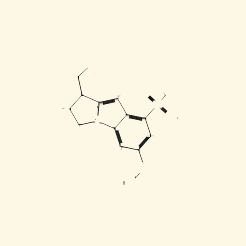 CC(C)Oc1cc(S(C)(=O)=O)c2cc3n(c2c1)CCC3CC(=O)O